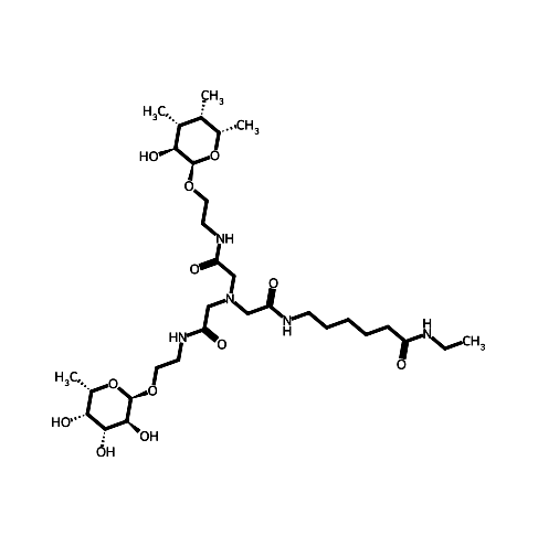 CCNC(=O)CCCCCNC(=O)CN(CC(=O)NCCO[C@@H]1O[C@@H](C)[C@@H](C)[C@@H](C)[C@@H]1O)CC(=O)NCCO[C@@H]1O[C@@H](C)[C@@H](O)[C@@H](O)[C@@H]1O